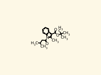 Cc1c(C(=O)OC(C)(C)C)c2ccccc2n1C(=O)CC(C)C